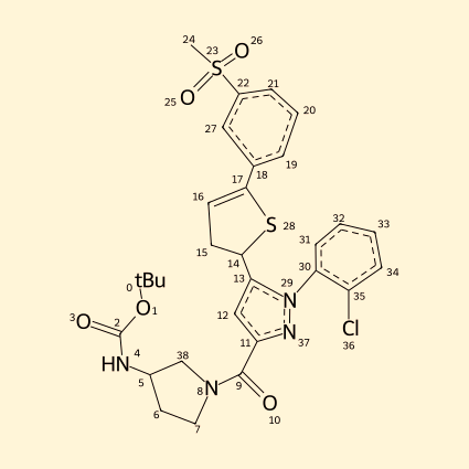 CC(C)(C)OC(=O)NC1CCN(C(=O)c2cc(C3CC=C(c4cccc(S(C)(=O)=O)c4)S3)n(-c3ccccc3Cl)n2)C1